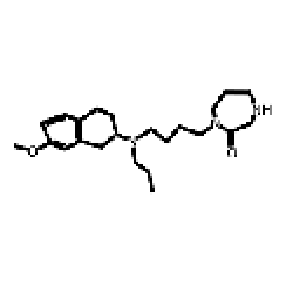 CCCN(CCCCN1CCCNCC1=O)C1CCc2ccc(OC)cc2C1